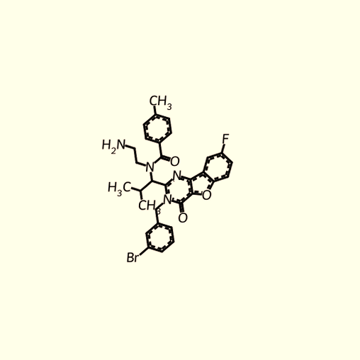 Cc1ccc(C(=O)N(CCN)C(c2nc3c(oc4ccc(F)cc43)c(=O)n2Cc2cccc(Br)c2)C(C)C)cc1